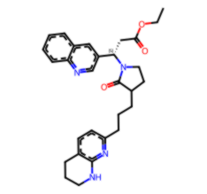 CCOC(=O)C[C@@H](c1cnc2ccccc2c1)N1CCC(CCCc2ccc3c(n2)NCCC3)C1=O